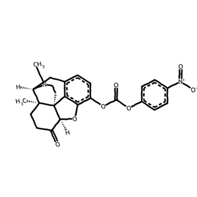 CN1CC[C@]23c4c5ccc(OC(=O)Oc6ccc([N+](=O)[O-])cc6)c4O[C@H]2C(=O)CC[C@@]3(C)[C@H]1C5